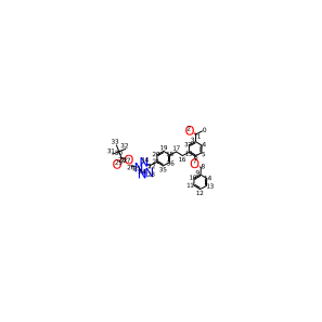 CC(=O)c1ccc(OCc2ccccc2)c(CCc2ccc(-c3nnn(COC(=O)C(C)(C)C)n3)cc2)c1